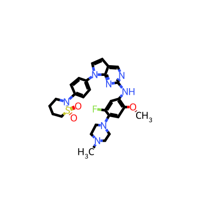 COc1cc(N2CCN(C)CC2)c(F)cc1Nc1ncc2ccn(-c3ccc(N4CCCCS4(=O)=O)cc3)c2n1